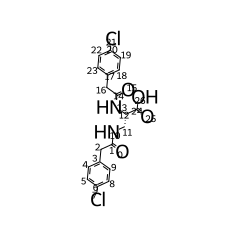 O=C(Cc1ccc(Cl)cc1)NC[C@H](NC(=O)Cc1ccc(Cl)cc1)C(=O)O